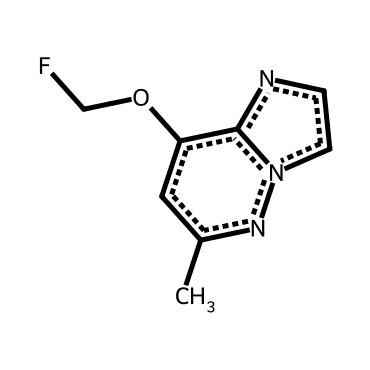 Cc1cc(OCF)c2nccn2n1